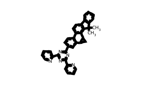 CC1(C)c2ccccc2-c2ccc3c(c21)C1CC1c1cc(-c2nc(-c4ccccn4)nc(-c4ccccn4)n2)ccc1-3